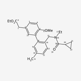 CCOC(=O)Cc1ccc(OC)c(-c2cc(C)ccc2CN(CC)C(=O)C2CC2)c1